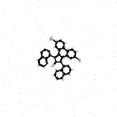 O=C1C(c2cccc3c2=CC=C=C=3)=c2c(c3cc(Br)ccc3c3ccc(Br)cc23)=C1c1cccc2ccccc12